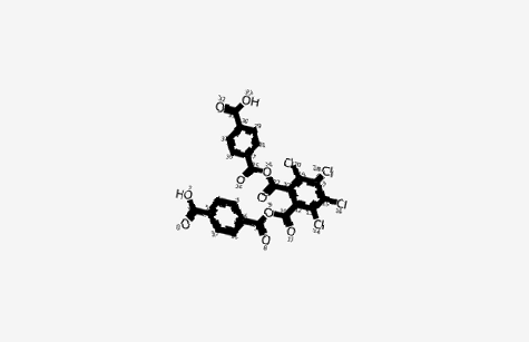 O=C(O)c1ccc(C(=O)OC(=O)c2c(Cl)c(Cl)c(Cl)c(Cl)c2C(=O)OC(=O)c2ccc(C(=O)O)cc2)cc1